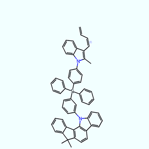 C=C/C=C\c1c(C)n(-c2ccc([Si](c3ccccc3)(c3ccccc3)c3cccc(-n4c5ccccc5c5ccc6c(c54)-c4ccccc4C6(C)C)c3)cc2)c2ccccc12